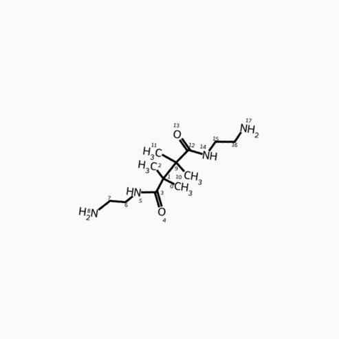 CC(C)(C(=O)NCCN)C(C)(C)C(=O)NCCN